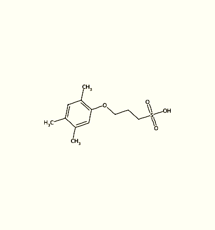 Cc1cc(C)c(OCCCS(=O)(=O)O)cc1C